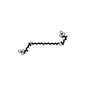 CC(CCCC(C)(C)OCCCCCCCCCCCCCCCCOC(C)(C)CCCC(C)C1COC(=O)O1)C1COC(=O)O1